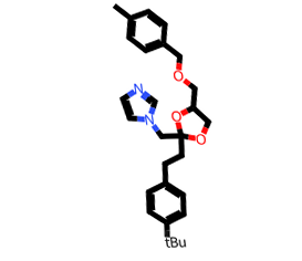 Cc1ccc(COCC2COC(CCc3ccc(C(C)(C)C)cc3)(Cn3ccnc3)O2)cc1